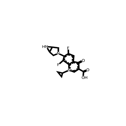 O=C(O)c1cn(C2CC2)c2c(F)c(N3CC4NC4C3)c(F)cc2c1=O